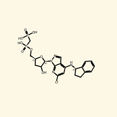 O=P(O)(O)CP(=O)(O)OC[C@@H]1CC(O)[C@H](n2ncc3c(N[C@@H]4CCc5ccccc54)cc(Cl)nc32)O1